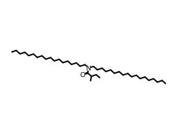 CCCCCCCCCCCCCCCCCCN(CCCCCCCCCCCCCCCCCC)C(=O)C(C)CC